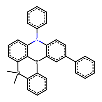 C[Si]1(C)c2ccccc2B2c3cc(-c4ccccc4)ccc3N(c3ccccc3)c3cccc1c32